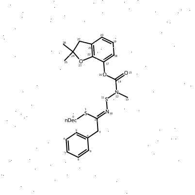 CCCCCCCCCCSC(Cc1ccccc1)=NSN(C)C(=O)Oc1cccc2c1OC(C)(C)C2